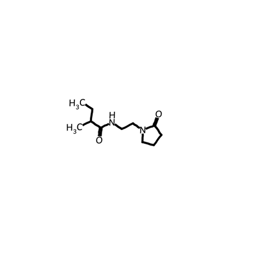 CCC(C)C(=O)NCCN1CCCC1=O